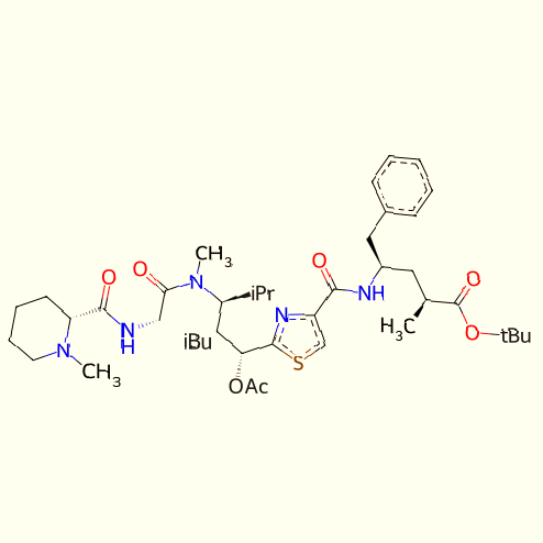 CC[C@H](C)[C@H](NC(=O)[C@H]1CCCCN1C)C(=O)N(C)[C@H](C[C@@H](OC(C)=O)c1nc(C(=O)N[C@@H](Cc2ccccc2)C[C@H](C)C(=O)OC(C)(C)C)cs1)C(C)C